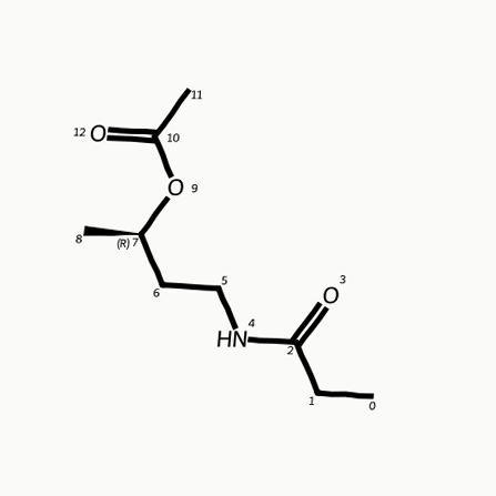 CCC(=O)NCC[C@@H](C)OC(C)=O